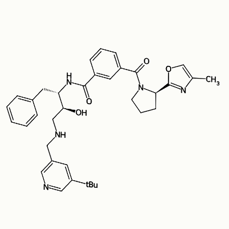 Cc1coc([C@H]2CCCN2C(=O)c2cccc(C(=O)N[C@@H](Cc3ccccc3)[C@@H](O)CNCc3cncc(C(C)(C)C)c3)c2)n1